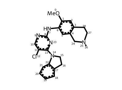 COc1cc2c(cc1Nc1ncc(Cl)c(N3CCc4ccccc43)n1)CN(C)CC2